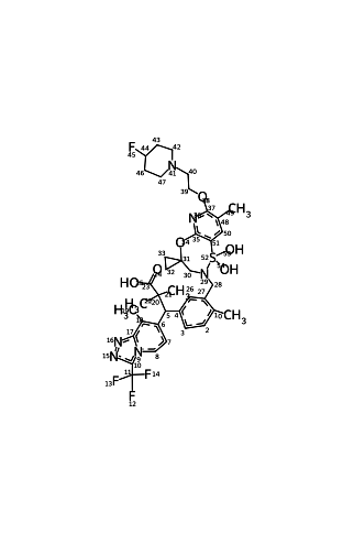 Cc1ccc(C(c2ccn3c(C(F)(F)F)nnc3c2C)C(C)(C)C(=O)O)cc1CN1CC2(CC2)Oc2nc(OCCN3CCC(F)CC3)c(C)cc2S1(O)O